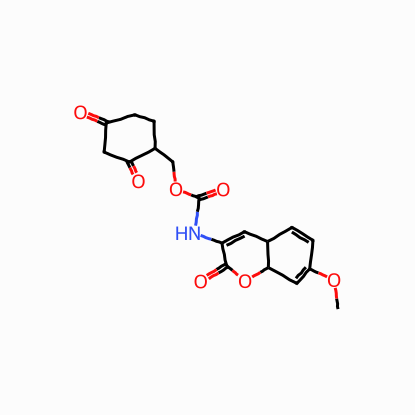 COC1=CC2OC(=O)C(NC(=O)OCC3CCC(=O)CC3=O)=CC2C=C1